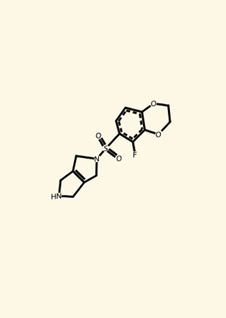 O=S(=O)(c1ccc2c(c1F)OCCO2)N1CC2=C(CNC2)C1